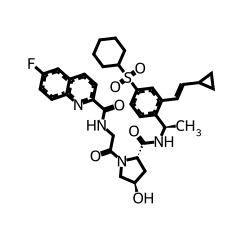 C[C@@H](NC(=O)[C@@H]1C[C@@H](O)CN1C(=O)CNC(=O)c1ccc2cc(F)ccc2n1)c1ccc(S(=O)(=O)C2CCCCC2)cc1/C=C/C1CC1